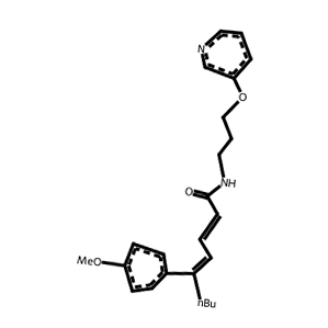 CCCCC(=CC=CC(=O)NCCCOc1cccnc1)c1ccc(OC)cc1